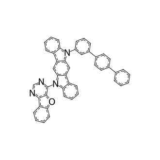 c1ccc(-c2ccc(-c3cccc(-n4c5ccccc5c5cc6c(cc54)c4ccccc4n6-c4ncnc5c4oc4ccccc45)c3)cc2)cc1